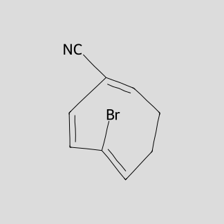 N#CC1=C/CC/C=C(Br)/C=C\1